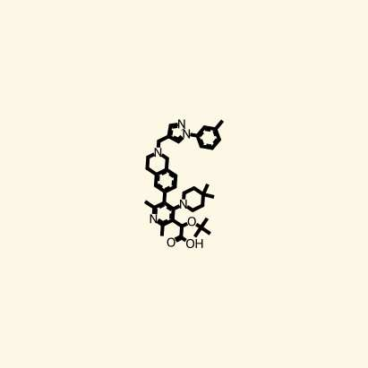 Cc1cccc(-n2cc(CN3CCc4cc(-c5c(C)nc(C)c(C(OC(C)(C)C)C(=O)O)c5N5CCC(C)(C)CC5)ccc4C3)cn2)c1